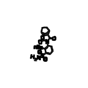 CCCCc1c(N2C(=O)C3C4CCC(C(=O)C4)C3C2=O)cccc1S(N)(=O)=O